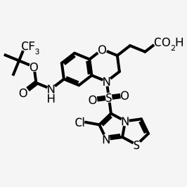 CC(C)(OC(=O)Nc1ccc2c(c1)N(S(=O)(=O)c1c(Cl)nc3sccn13)CC(CCC(=O)O)O2)C(F)(F)F